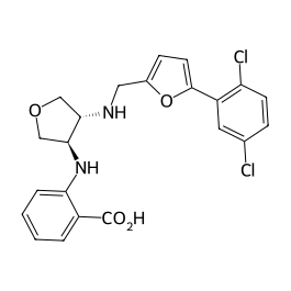 O=C(O)c1ccccc1N[C@H]1COC[C@@H]1NCc1ccc(-c2cc(Cl)ccc2Cl)o1